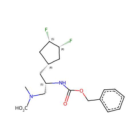 CN(C[C@H](C[C@H]1C[C@@H](F)[C@@H](F)C1)NC(=O)OCc1ccccc1)C(=O)O